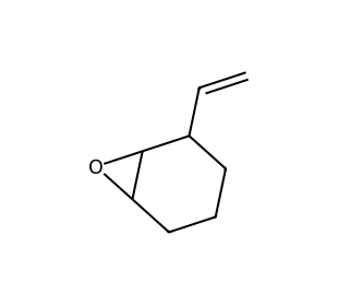 C=CC1CCCC2OC12